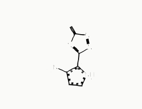 O=[N+]([O-])c1cc[nH]c1C1=NC(=S)N=N1